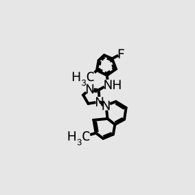 CC1=CC2C(=CC=CN2N2CCN=C2Nc2cc(F)ccc2C)C=C1